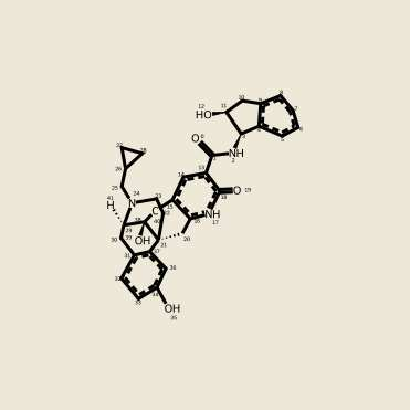 O=C(N[C@@H]1c2ccccc2C[C@@H]1O)c1cc2c([nH]c1=O)C[C@]13CCN(CC4CC4)[C@H](Cc4ccc(O)cc41)[C@]3(O)C2